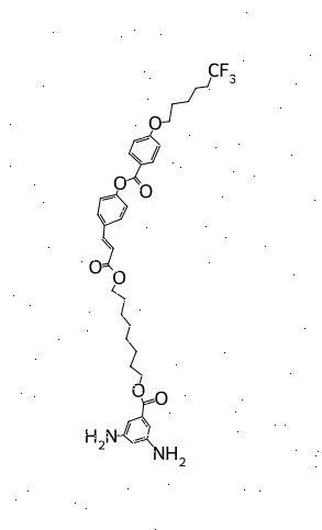 Nc1cc(N)cc(C(=O)OCCCCCCCCOC(=O)C=Cc2ccc(OC(=O)c3ccc(OCCCCCC(F)(F)F)cc3)cc2)c1